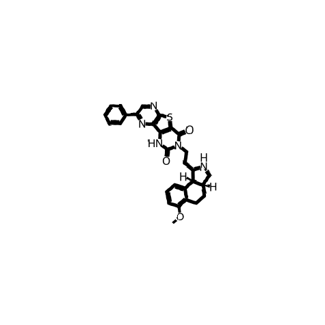 COc1cccc2c1CC[C@H]1CNC(CCn3c(=O)[nH]c4c(sc5ncc(-c6ccccc6)nc54)c3=O)[C@@H]21